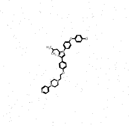 CC(C)Cc1nc(-c2ccc(OCCN3CCN(c4ccncc4)CC3)cc2)cn1-c1ccc(Oc2ccc(Cl)cc2)cc1